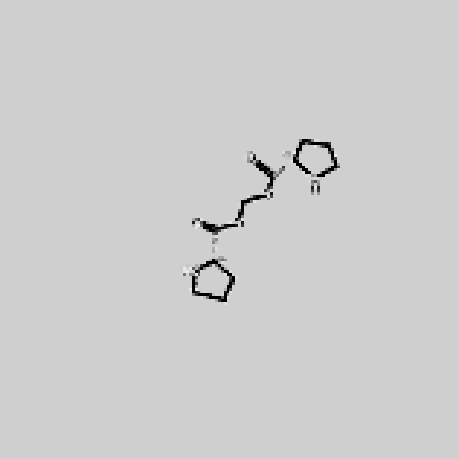 O=C(OCOC(=O)[C@@H]1CCCN1)[C@@H]1CCCN1